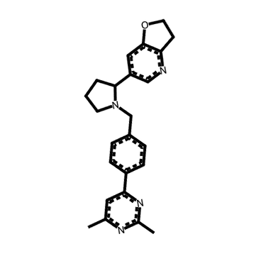 Cc1cc(-c2ccc(CN3CCCC3c3cnc4c(c3)OCC4)cc2)nc(C)n1